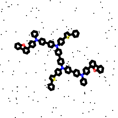 c1ccc(-c2ccc(-c3ccc(N(c4ccc(-c5ccc(N(c6ccc(-c7ccc(N(c8ccccc8)c8ccc(-c9cccc%10c9oc9ccccc9%10)cc8)cc7)cc6)c6ccc(-c7ccc(-c8ccccc8)s7)cc6)cc5)cc4)c4ccc(-c5ccc(N(c6ccccc6)c6ccc(-c7cccc8c7oc7ccccc78)cc6)cc5)cc4)cc3)s2)cc1